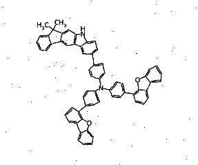 CC1(C)c2ccccc2-c2cc3c(cc21)[nH]c1ccc(-c2ccc(N(c4ccc(-c5cccc6c5oc5ccccc56)cc4)c4ccc(-c5cccc6c5oc5ccccc56)cc4)cc2)cc13